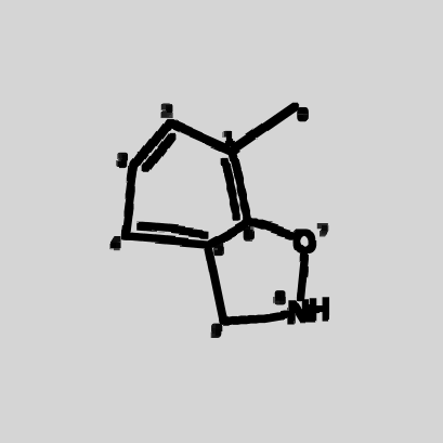 Cc1cccc2c1ONC2